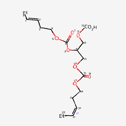 CCC=CCCOC(=O)OC(COC(=O)O)COC(=O)OCC/C=C\CC